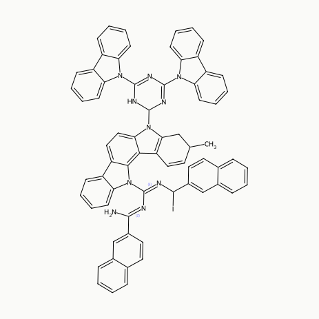 CC1C=Cc2c(n(C3N=C(n4c5ccccc5c5ccccc54)N=C(n4c5ccccc5c5ccccc54)N3)c3ccc4c5ccccc5n(C(/N=C(\N)c5ccc6ccccc6c5)=N/C(I)c5ccc6ccccc6c5)c4c23)C1